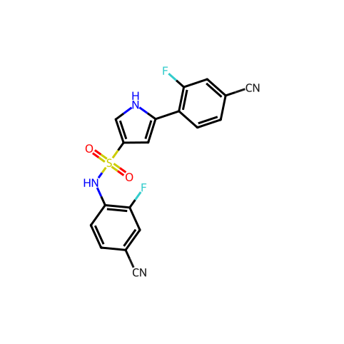 N#Cc1ccc(NS(=O)(=O)c2c[nH]c(-c3ccc(C#N)cc3F)c2)c(F)c1